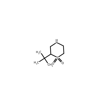 CC(C)(C)C1CNCCS1(=O)=O